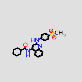 CS(=O)(=O)c1ccc(Nc2cc(NC(=O)C3CCCCC3)c3ccccc3n2)cc1